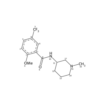 COc1ccc(C(F)(F)F)cc1C(=O)NC1CCCN(C)C1